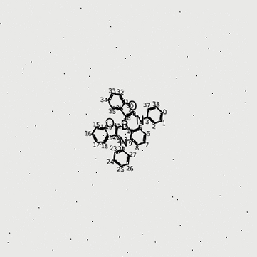 c1ccc(N2c3cccc4c3B(c3oc5ccccc5c3N4c3ccccc3)c3c2oc2ccccc32)cc1